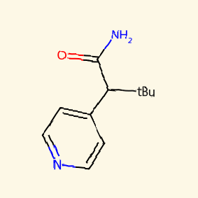 [CH2]C(C)(C)C(C(N)=O)c1ccncc1